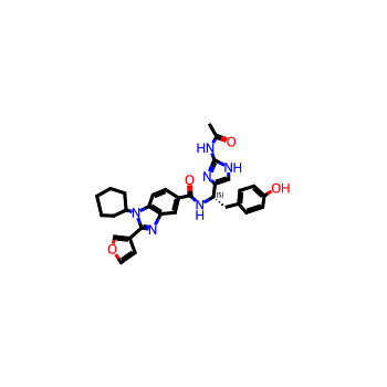 CC(=O)Nc1nc([C@H](Cc2ccc(O)cc2)NC(=O)c2ccc3c(c2)nc(-c2ccoc2)n3C2CCCCC2)c[nH]1